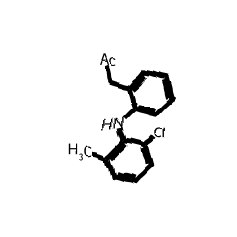 CC(=O)Cc1ccccc1Nc1c(C)cccc1Cl